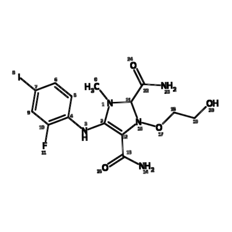 CN1C(Nc2ccc(I)cc2F)=C(C(N)=O)N(OCCO)C1C(N)=O